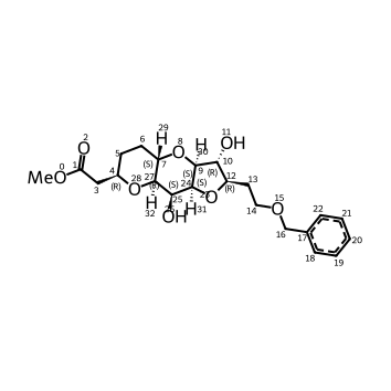 COC(=O)C[C@H]1CC[C@@H]2O[C@H]3[C@H](O)[C@@H](CCOCc4ccccc4)O[C@H]3[C@@H](O)[C@H]2O1